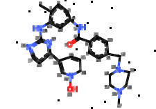 Cc1ccc(NC(=O)c2ccc(CN3CCN(C)CC3)cc2)cc1Nc1nccc(C2=CN(O)CC=C2)n1